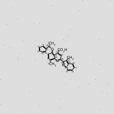 Cc1ccc(O[C@H](C)c2ccccc2)c2c(C(=O)O)cc(-c3nn4ccccc4c3C)nc12